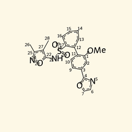 COc1cc(-c2ncco2)ccc1-c1ccccc1S(=O)(=O)Nc1onc(C)c1C